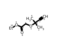 C#CC(C)(C)OCC(=O)OCC